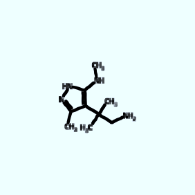 CNc1[nH]nc(C)c1C(C)(C)CN